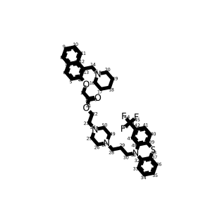 O=C(COc1ccc2ccccc2c1CN1CCCCC1)OCCN1CCN(CCCN2c3ccccc3Sc3ccc(C(F)(F)F)cc32)CC1